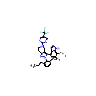 CCCc1cccc(CC)c1-n1nc2c(c1-c1ccc(C)c3[nH]ccc13)CN(c1ncc(C(F)(F)F)cn1)CC2